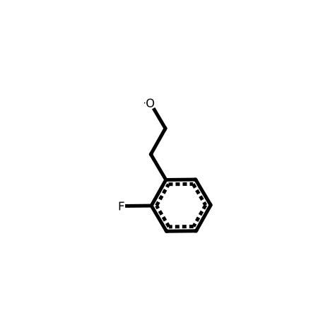 [O]CCc1ccccc1F